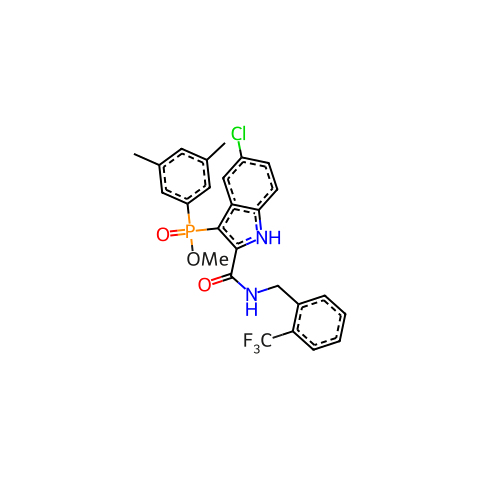 COP(=O)(c1cc(C)cc(C)c1)c1c(C(=O)NCc2ccccc2C(F)(F)F)[nH]c2ccc(Cl)cc12